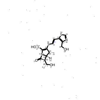 C[C@@H](O)[C@H]1C(=O)N2C(C(=O)O)=C(S/C=C/c3scnc3CO)[C@H](C)[C@@H]12